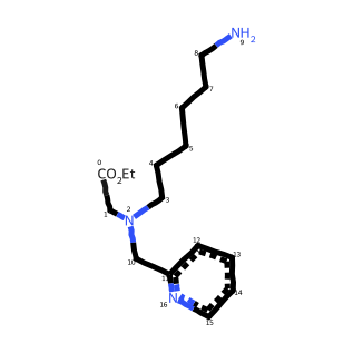 CCOC(=O)CN(CCCCCCN)Cc1ccccn1